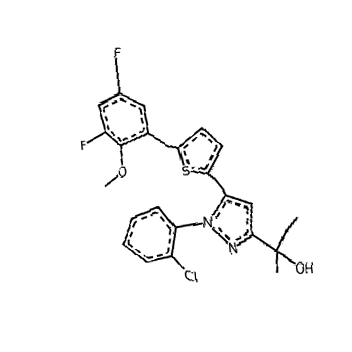 COc1c(F)cc(F)cc1-c1ccc(-c2cc(C(C)(C)O)nn2-c2ccccc2Cl)s1